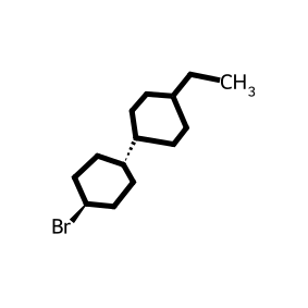 CCC1CCC([C@H]2CC[C@H](Br)CC2)CC1